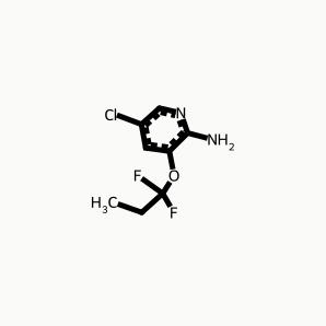 CCC(F)(F)Oc1cc(Cl)cnc1N